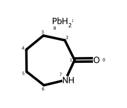 O=C1CCCCCN1.[PbH2]